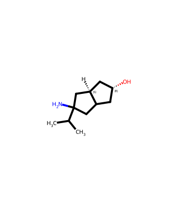 CC(C)C1(N)CC2C[C@@H](O)C[C@@H]2C1